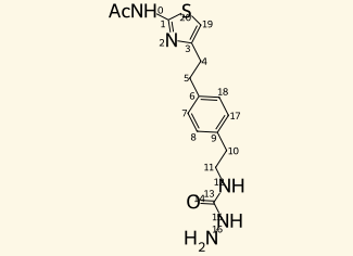 CC(=O)Nc1nc(CCc2ccc(CCNC(=O)NN)cc2)cs1